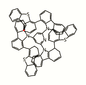 C1=CC2SC3=C(c4cccc5c6ccccc6n(-c6cc(-n7c8c(c9ccccc97)C=CCC8c7cccc8c7sc7ccccc78)nc(-n7c8ccccc8c8cccc(-c9cccc%10c9sc9ccccc9%10)c87)c6)c45)CCC=C3C2C=C1